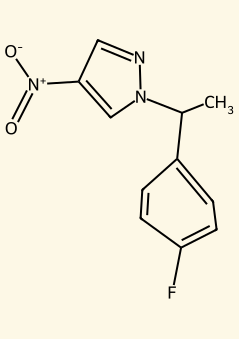 CC(c1ccc(F)cc1)n1cc([N+](=O)[O-])cn1